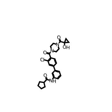 O=C(Nc1cccc(-c2ccc(C(=O)N3CCN(C(=O)C4(O)CC4)CC3)c(Cl)c2)c1)C1CCCC1